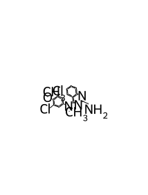 COc1c(Cl)cc(N(C)c2nc(CN)nc3ccccc23)cc1Cl